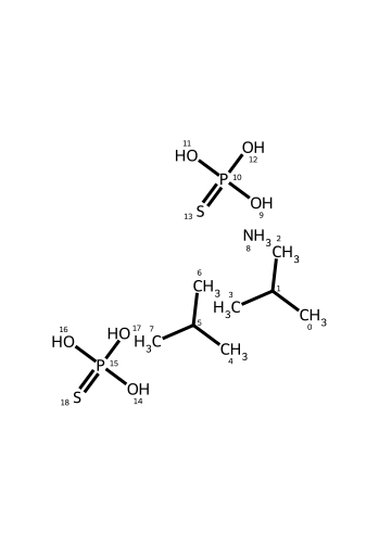 CC(C)C.CC(C)C.N.OP(O)(O)=S.OP(O)(O)=S